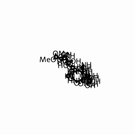 COc1cc(OC)cc(C2OCC3OC(OC4C(CO)OC(Oc5ccc(CC6NC(=O)C(C(C)c7ccccc7)NC(=O)CNC(=O)C(CO)NC(=O)C(C(O)C7CNC(=N)N7C7OC(CO)C(O)C(O)C7O)NC(=O)C(C(O)C7CNC(=N)N7)NC6=O)cc5)C(O)C4O)C(O)C(O)C3O2)c1